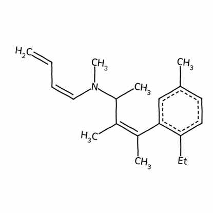 C=C/C=C\N(C)C(C)/C(C)=C(/C)c1cc(C)ccc1CC